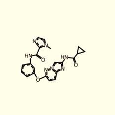 Cn1ccnc1C(=O)Nc1cccc(Oc2ccc3nc(NC(=O)C4CC4)cn3n2)c1